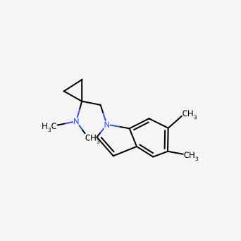 Cc1cc2ccn(CC3(N(C)C)CC3)c2cc1C